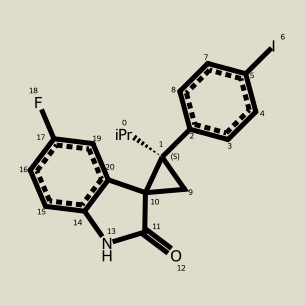 CC(C)[C@]1(c2ccc(I)cc2)CC12C(=O)Nc1ccc(F)cc12